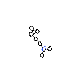 c1ccc(-c2cc(-c3ccccc3)nc(-c3ccc(-c4ccc(-c5cccc6c5-c5ccccc5C65CCCCC5)cc4)cc3)n2)cc1